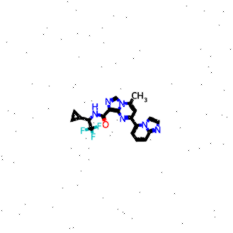 Cc1cc(-c2cccc3nccn23)nc2c(C(=O)NC(C3CC3)C(F)(F)F)ncn12